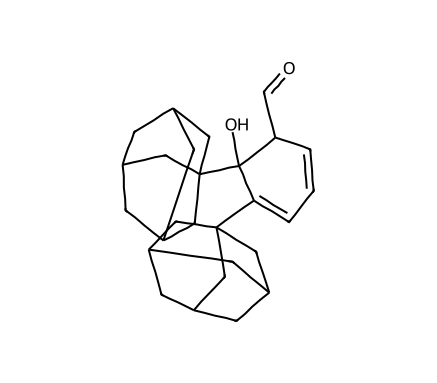 O=CC1C=CC=C(C23CC4CC(CC(C4)C2)C3)C1(O)C12CC3CC(CC(C3)C1)C2